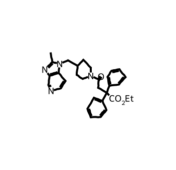 CCOC(=O)C(CC(=O)N1CCC(Cn2c(C)nc3cnccc32)CC1)(c1ccccc1)c1ccccc1